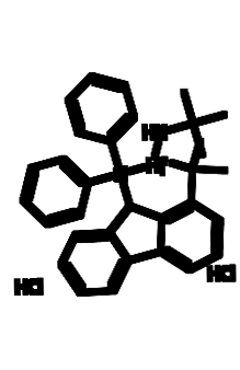 CC(C)(C)[NH][Hf][Si](c1ccccc1)(c1ccccc1)C1c2ccccc2-c2cccc(C(C)(C)C)c21.Cl.Cl